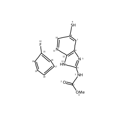 COC(=O)Nc1nc2cc(S)cnc2[nH]1.Fc1ccccc1